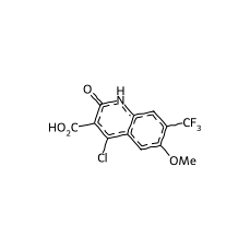 COc1cc2c(Cl)c(C(=O)O)c(=O)[nH]c2cc1C(F)(F)F